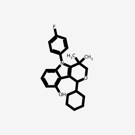 CC1(C)COC(C2CCCCC2)c2c1n(-c1ccc(F)cc1)c1cccc(O)c21